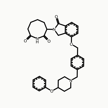 O=C1CCCCC(N2Cc3c(OCc4ccc(CN5CCC(Oc6ccccc6)CC5)cc4)cccc3C2=O)C(=O)N1